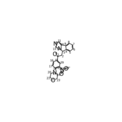 O=C(CC1c2ccccc2-c2cncn21)c1ccc(N2CCOCC2)c([N+](=O)[O-])c1